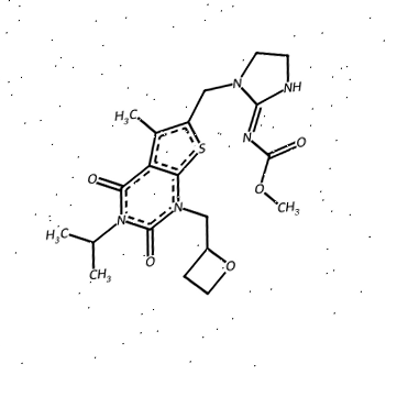 COC(=O)N=C1NCCN1Cc1sc2c(c1C)c(=O)n(C(C)C)c(=O)n2CC1CCO1